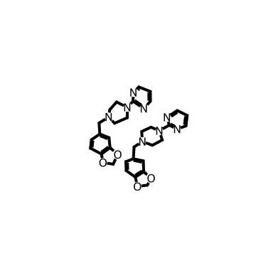 c1cnc(N2CCN(Cc3ccc4c(c3)OCO4)CC2)nc1.c1cnc(N2CCN(Cc3ccc4c(c3)OCO4)CC2)nc1